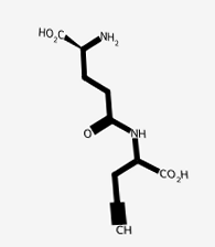 C#CCC(NC(=O)CC[C@H](N)C(=O)O)C(=O)O